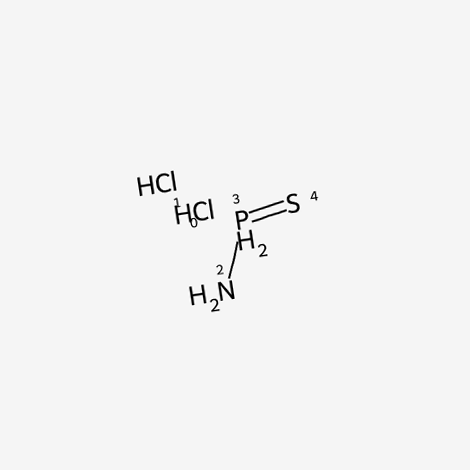 Cl.Cl.N[PH2]=S